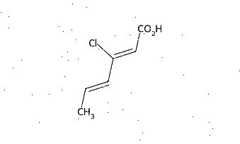 C/C=C/C(Cl)=C/C(=O)O